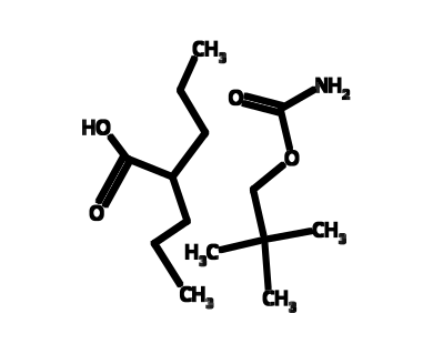 CC(C)(C)COC(N)=O.CCCC(CCC)C(=O)O